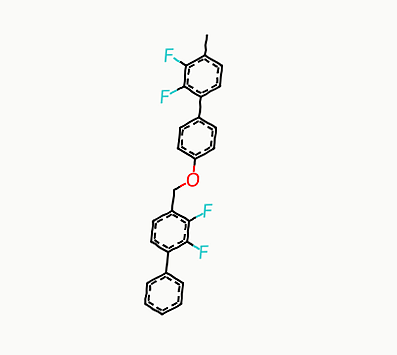 Cc1ccc(-c2ccc(OCc3ccc(-c4ccccc4)c(F)c3F)cc2)c(F)c1F